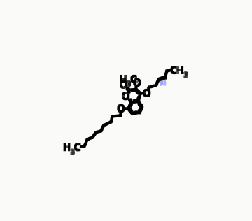 CC/C=C/CCOc1c(OC)c(=O)oc2c(OCCCCCCCCCC)cccc12